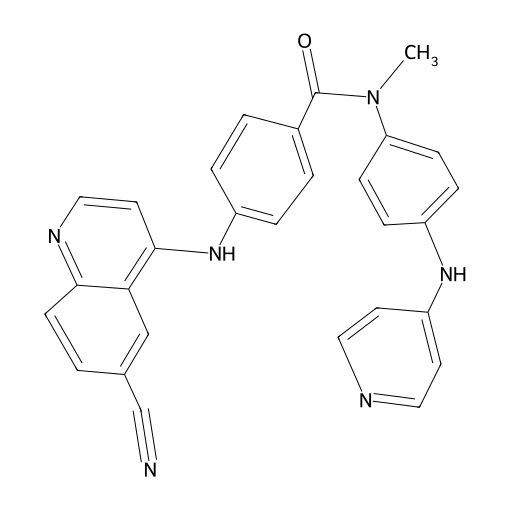 CN(C(=O)c1ccc(Nc2ccnc3ccc(C#N)cc23)cc1)c1ccc(Nc2ccncc2)cc1